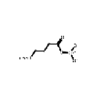 CCCCCCCCC(=O)O[Cl+2]([O-])[O-]